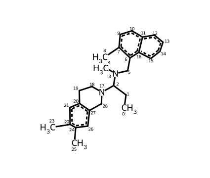 CCC(N(C)Cc1c(C)ccc2ccccc12)N1CCc2cc(C)c(C)cc2C1